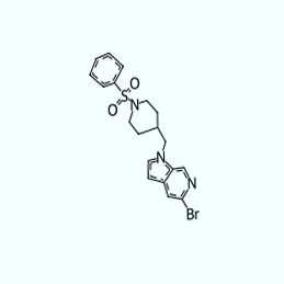 O=S(=O)(c1ccccc1)N1CCC(Cn2ccc3cc(Br)ncc32)CC1